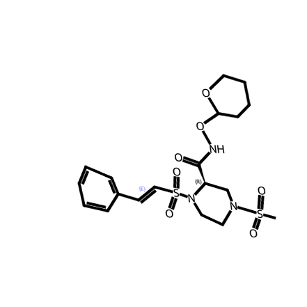 CS(=O)(=O)N1CCN(S(=O)(=O)/C=C/c2ccccc2)[C@@H](C(=O)NOC2CCCCO2)C1